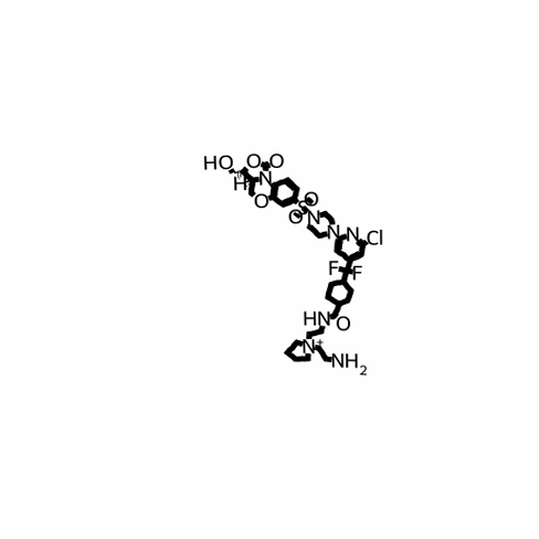 NCC[N+]1(CCNC(=O)C2CCC(C(F)(F)c3cc(Cl)nc(N4CCN(S(=O)(=O)c5ccc6c(c5)OC[C@H]5[C@H](CO)OC(=O)N65)CC4)c3)CC2)CCCC1